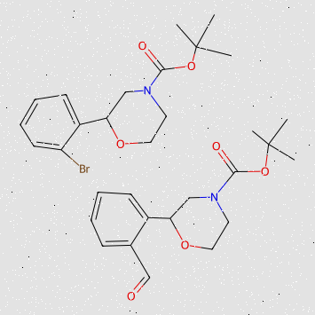 CC(C)(C)OC(=O)N1CCOC(c2ccccc2Br)C1.CC(C)(C)OC(=O)N1CCOC(c2ccccc2C=O)C1